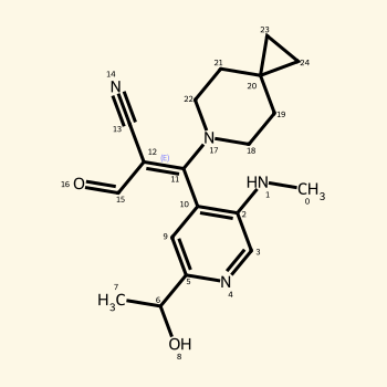 CNc1cnc(C(C)O)cc1/C(=C(/C#N)C=O)N1CCC2(CC1)CC2